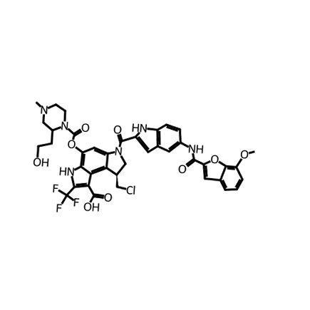 COc1cccc2cc(C(=O)Nc3ccc4[nH]c(C(=O)N5C[C@@H](CCl)c6c5cc(OC(=O)N5CCN(C)CC5CCO)c5[nH]c(C(F)(F)F)c(C(=O)O)c65)cc4c3)oc12